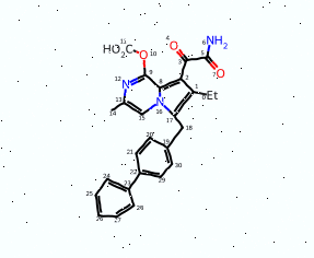 CCc1c(C(=O)C(N)=O)c2c(OC(=O)O)nc(C)cn2c1Cc1ccc(-c2ccccc2)cc1